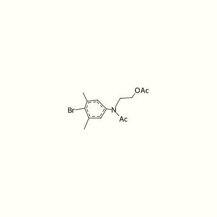 CC(=O)OCCN(C(C)=O)c1cc(C)c(Br)c(C)c1